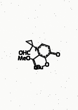 CCCCOc1c(C(=O)OC)n(C2(C=O)CC2)ccc1=O